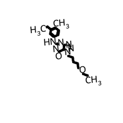 CCCOCCCCCN1N=NC2=NC(Nc3ccc(C)c(CC)c3)=NC(=O)C21